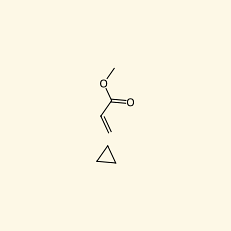 C1CC1.C=CC(=O)OC